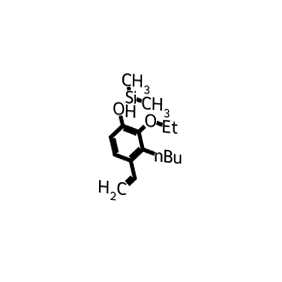 C=Cc1ccc(O[SiH](C)C)c(OCC)c1CCCC